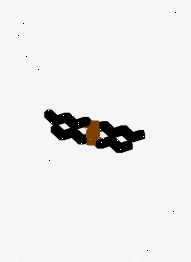 CCCCCSCCCCC.CCCCSCCCC